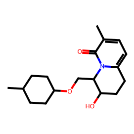 Cc1ccc2n(c1=O)C(COC1CCC(C)CC1)C(O)CC2